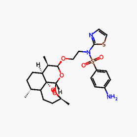 C[C@H]1[C@@H](OCCN(c2nccs2)S(=O)(=O)c2ccc(N)cc2)O[C@@H]2O[C@@]3(C)CCC4[C@H](C)CC[C@@H]1[C@]42OO3